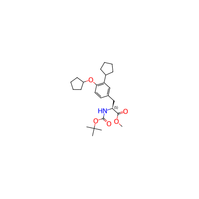 COC(=O)[C@H](Cc1ccc(OC2CCCC2)c(C2CCCC2)c1)NC(=O)OC(C)(C)C